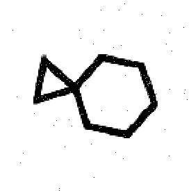 [CH]1CC12CCCCC2